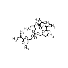 C=C(C)C(=O)OC(CC)COP(=O)(OCC(CC)OC(=O)C(=C)C)OCC(CC)OC(=O)C(=C)C